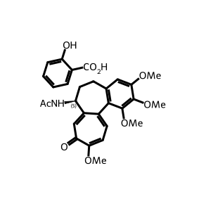 COc1cc2c(c(OC)c1OC)-c1ccc(OC)c(=O)cc1[C@@H](NC(C)=O)CC2.O=C(O)c1ccccc1O